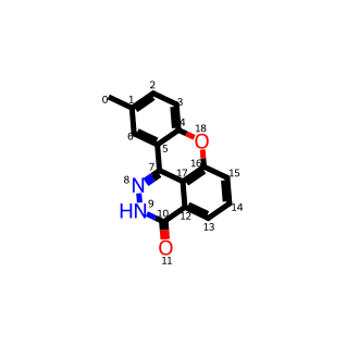 Cc1ccc2c(c1)-c1n[nH]c(=O)c3cccc(c13)O2